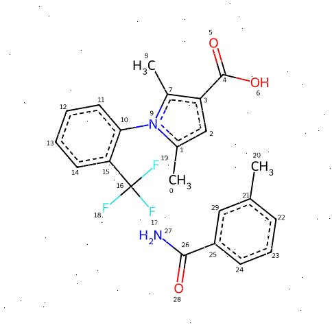 Cc1cc(C(=O)O)c(C)n1-c1ccccc1C(F)(F)F.Cc1cccc(C(N)=O)c1